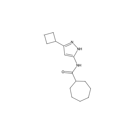 O=C(Nc1cc(C2C[CH]C2)n[nH]1)C1CCCCCC1